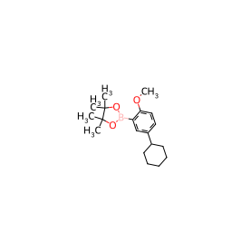 COc1ccc(C2CCCCC2)cc1B1OC(C)(C)C(C)(C)O1